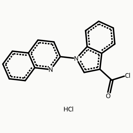 Cl.O=C(Cl)c1cn(-c2ccc3ccccc3n2)c2ccccc12